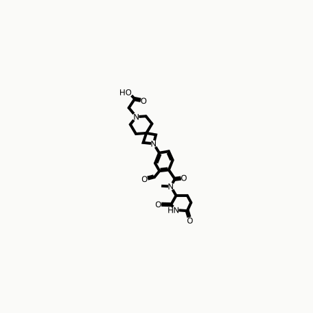 CN(C(=O)c1ccc(N2CC3(CCN(CC(=O)O)CC3)C2)cc1C=O)C1CCC(=O)NC1=O